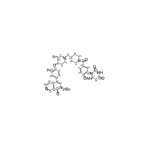 CCCCn1cc(-c2ccc(OC3CCN(CC4CCN(C(=O)c5ccc(OC)c(N6CCC(=O)NC6=O)c5)CC4)C[C@H]3F)c(F)c2)c2ccncc2c1=O